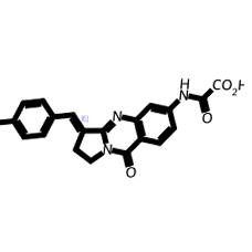 O=C(O)C(=O)Nc1ccc2c(=O)n3c(nc2c1)/C(=C/c1ccc(Cl)cc1)CC3